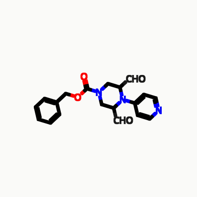 O=CC1CN(C(=O)OCc2ccccc2)CC(C=O)N1c1ccncc1